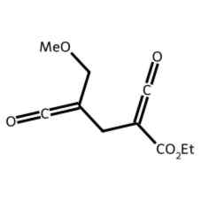 CCOC(=O)C(=C=O)CC(=C=O)COC